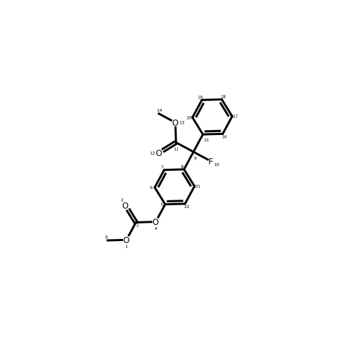 COC(=O)Oc1ccc(C(F)(C(=O)OC)c2ccccc2)cc1